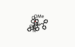 COC(=O)c1ccc2c(c1)nc(-c1cccc3nc(-c4ccccc4O)n(CCC4=CCCCC4)c13)n2CCC(c1ccccc1)c1ccccc1